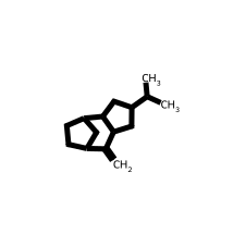 C=C1C2CCC(C2)C2CC(C(C)C)CC12